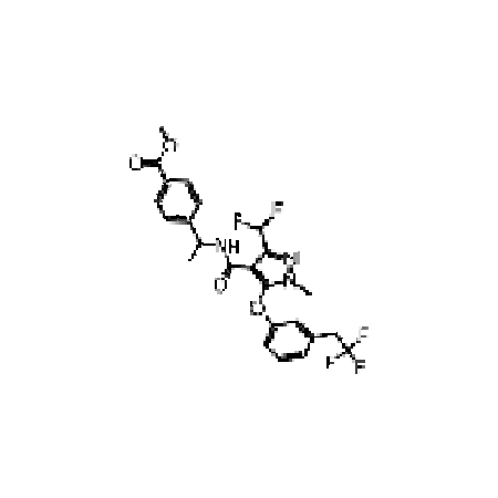 COC(=O)c1ccc(C(C)NC(=O)c2c(C(F)F)nn(C)c2Oc2cccc(CC(F)(F)F)c2)cc1